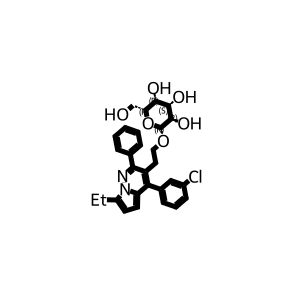 CCc1ccc2c(-c3cccc(Cl)c3)c(CCO[C@@H]3O[C@H](CO)[C@H](O)[C@H](O)[C@H]3O)c(-c3ccccc3)nn12